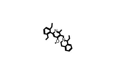 CCc1cccc(CC)c1-c1cc(OC)c(CN2CCc3ccccc3C2CC)c(C)n1